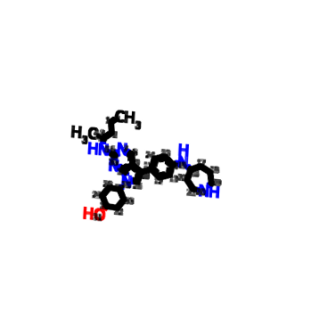 CCC[C@H](C)Nc1ncc2c(-c3ccc(NC4CCCNCC4)cc3)cn(C3CCC(O)CC3)c2n1